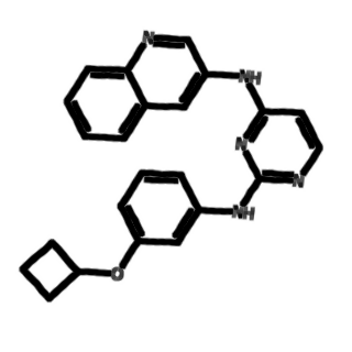 c1cc(Nc2nccc(Nc3cnc4ccccc4c3)n2)cc(OC2CCC2)c1